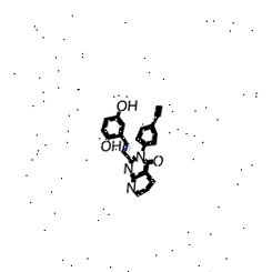 C#Cc1ccc(-n2c(/C=C/c3cc(O)ccc3O)nc3ncccc3c2=O)cc1